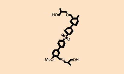 COc1ccc(-c2ccc(S(=O)(=O)c3ccc(-c4ccc(C)c(COCC(C)CO)c4)cc3)cc2)cc1COCC(C)CO